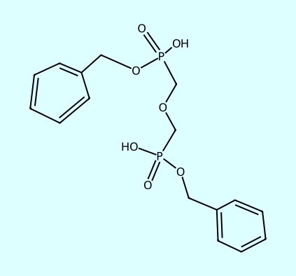 O=P(O)(COCP(=O)(O)OCc1ccccc1)OCc1ccccc1